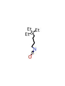 CC[Si](CC)(CC)CCCCN=C=O